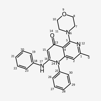 Cc1cc2c(c(N3CCOCC3)n1)c(=O)cc(Nc1ccccc1)n2-c1ccccc1